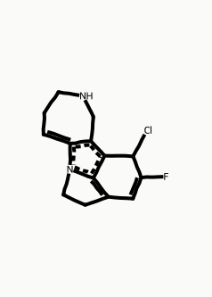 FC1=CC2=c3c(c4c(n3CC2)=CCCNC4)C1Cl